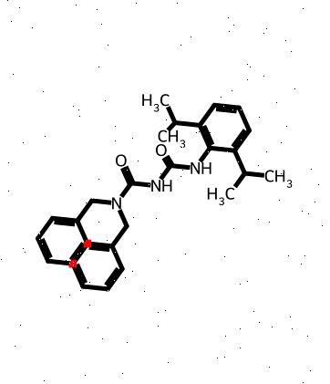 CC(C)c1cccc(C(C)C)c1NC(=O)NC(=O)N(Cc1ccccc1)Cc1ccccc1